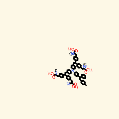 [C-]#[N+]/C(=C\c1ccc(C(=Cc2ccc(N(c3ccc(/C=C(/c4ccc(/C=C(\[N+]#[C-])C(=O)O)cc4)c4ccc(/C=C(\C#N)C(=O)O)cc4)cc3)c3ccc(/C(=C/c4ccc(C)cc4)c4ccccc4)cc3)cc2)c2ccc(/C=C(\[N+]#[C-])C(=O)O)cc2)cc1)C(=O)O